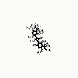 CC1N(C)c2cc(O)c(C3=C(O)/C(=c4\c(O)cc5c(c4O)C(C)(C)C(C)[N+]=5C)C3=O)c(O)c2C1(C)C